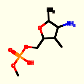 BC1OC(COP(=O)(O)OC)C(C)C1N